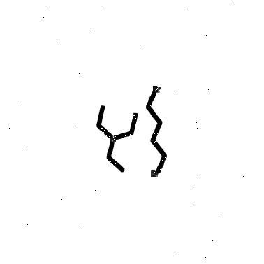 BrCCCCBr.CCN(CC)CC